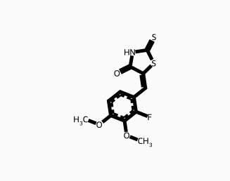 COc1ccc(/C=C2/SC(=S)NC2=O)c(F)c1OC